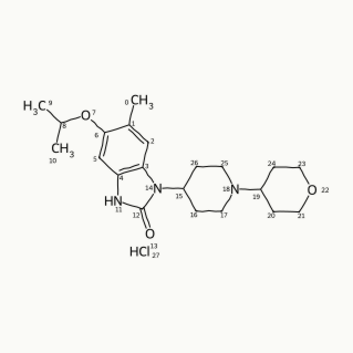 Cc1cc2c(cc1OC(C)C)[nH]c(=O)n2C1CCN(C2CCOCC2)CC1.Cl